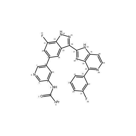 CCCC(=O)Nc1cncc(-c2cc(F)c3[nH]nc(-c4nc5c(-c6cccc(F)c6)nccc5[nH]4)c3c2)c1